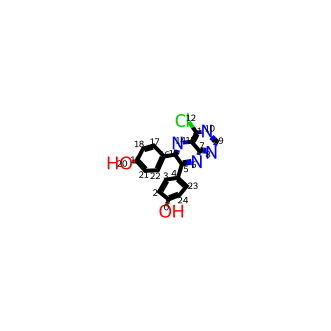 Oc1ccc(-c2nc3ncnc(Cl)c3nc2-c2ccc(O)cc2)cc1